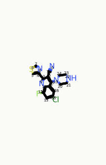 N#Cc1c(-c2cscn2)nc2c(F)cc(Cl)cc2c1N1CCNCC1